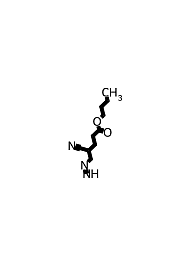 CCCCOC(=O)CCC(C#N)CN=N